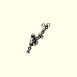 Cc1nc(C(=O)N2Cc3cc4c(cc3C[C@H]2C(=O)NC(Cc2ccc(-c3ccc(C#N)cc3)cc2)C(=O)O)OC[C@H](c2ccc(OCc3ccc(Cl)c(Cl)c3)cc2)O4)c(C)o1